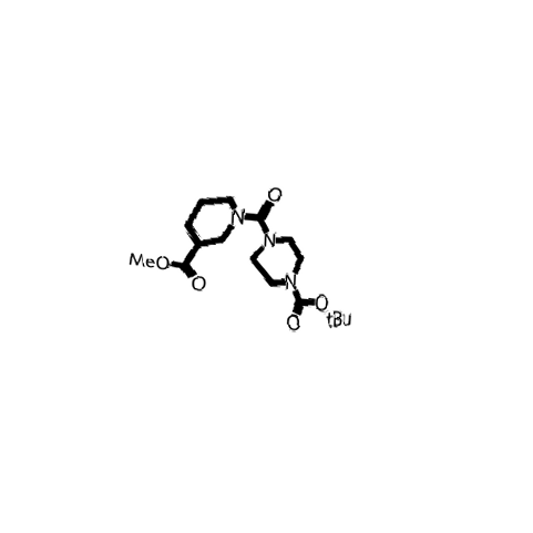 COC(=O)C1CCCN(C(=O)N2CCN(C(=O)OC(C)(C)C)CC2)C1